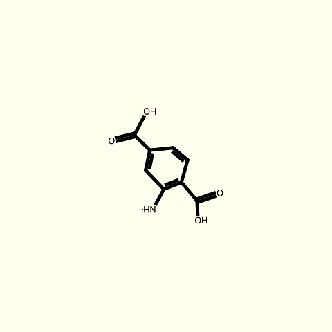 [NH]c1cc(C(=O)O)ccc1C(=O)O